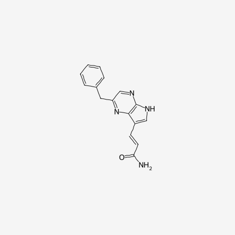 NC(=O)/C=C/c1c[nH]c2ncc(Cc3ccccc3)nc12